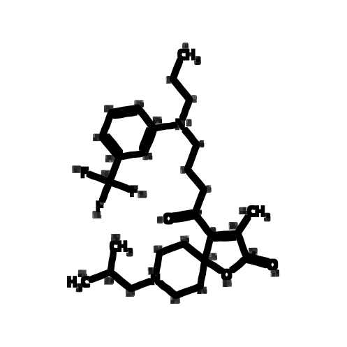 CCCN(CCCC(=O)C1=C(C)C(=O)OC12CCN(CC(C)C)CC2)c1cccc(C(F)(F)F)c1